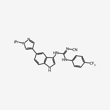 CC(C)n1cc(-c2ccc3[nH]cc(N/C(=N/C#N)Nc4ccc(C(F)(F)F)cc4)c3c2)cn1